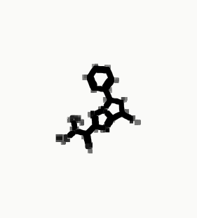 CN(C)C(=O)c1nc2n(n1)C(c1ccccc1)CC2F